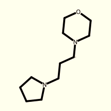 [CH](CCN1CCCC1)N1CCOCC1